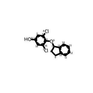 Oc1cc(Cl)c(OC2CCc3ccccc32)c(Cl)c1